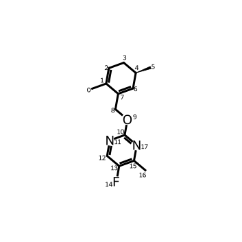 CC1=CC[C@@H](C)C=C1COc1ncc(F)c(C)n1